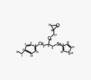 CCc1ccc(OCC(CSc2ccsc2)OCC2CO2)cc1